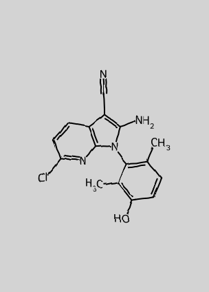 Cc1ccc(O)c(C)c1-n1c(N)c(C#N)c2ccc(Cl)nc21